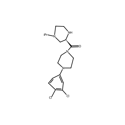 CC(C)N1CCN[C@@H](C(=O)N2CCN(c3ccc(Cl)c(Cl)c3)CC2)C1